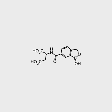 O=C(O)C[C@H](NC(=O)c1ccc2c(c1)B(O)OC2)C(=O)O